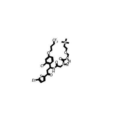 CCc1ccc(C(=O)CC(NC(=O)Cn2nnn(COCC[Si](C)(C)C)c2=O)c2ccc(OCCCC(F)(F)F)cc2Cl)s1